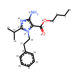 CCCCOC(=O)c1c(N)nc(C(C)C)n1CCc1ccccc1